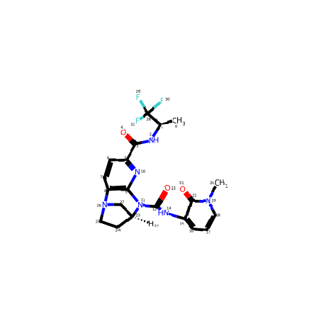 C[C@@H](NC(=O)c1ccc2c(n1)N(C(=O)Nc1cccn(C)c1=O)[C@H]1CCN2C1)C(F)(F)F